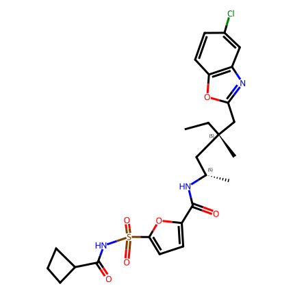 CC[C@](C)(Cc1nc2cc(Cl)ccc2o1)C[C@H](C)NC(=O)c1ccc(S(=O)(=O)NC(=O)C2CCC2)o1